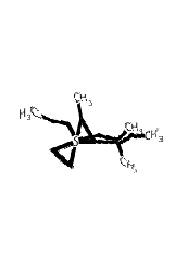 CCCS12(CC)(CC1)C(C)C2C(C)CC